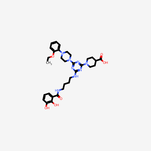 CCOc1ccccc1N1CCN(c2nc(NCCCCNC(=O)c3cccc(O)c3O)nc(N3CCC(C(=O)O)CC3)n2)CC1